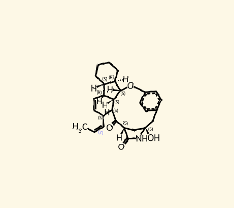 C/C=C\[C@H]1C=C[C@H]2[C@@H]3CCCC[C@H]3[C@@H]3Oc4ccc(cc4)C[C@@]4(O)C[C@H](C(=O)N4)C(=O)[C@@H]1[C@H]23